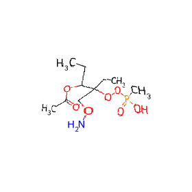 CCC(OC(C)=O)C(CC)(CON)OOP(C)(=O)O